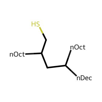 CCCCCCCCCCC(CCCCCCCC)CC(CS)CCCCCCCC